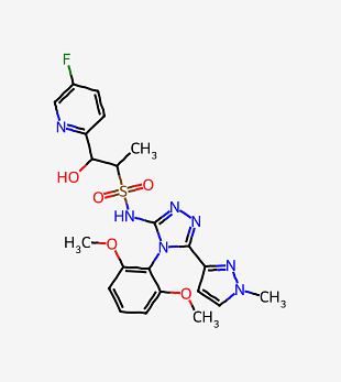 COc1cccc(OC)c1-n1c(NS(=O)(=O)C(C)C(O)c2ccc(F)cn2)nnc1-c1ccn(C)n1